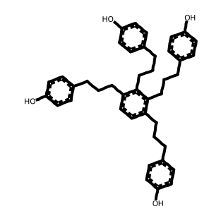 Oc1ccc(CCCc2ccc(CCCc3ccc(O)cc3)c(CCCc3ccc(O)cc3)c2CCCc2ccc(O)cc2)cc1